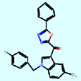 Cc1ccc2c(c1)c(C(=O)c1nnc(-c3ccccc3)o1)cn2Cc1ccc(Cl)cc1